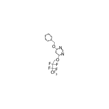 FC(F)(F)C(F)(F)C(F)(F)COc1cc(OCc2ccccc2)ncn1